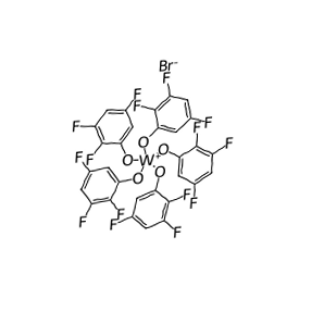 Fc1cc(F)c(F)c([O][W+]([O]c2cc(F)cc(F)c2F)([O]c2cc(F)cc(F)c2F)([O]c2cc(F)cc(F)c2F)[O]c2cc(F)cc(F)c2F)c1.[Br-]